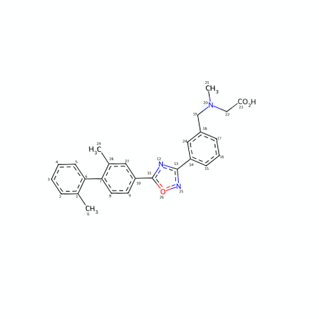 Cc1ccccc1-c1ccc(-c2nc(-c3cccc(CN(C)CC(=O)O)c3)no2)cc1C